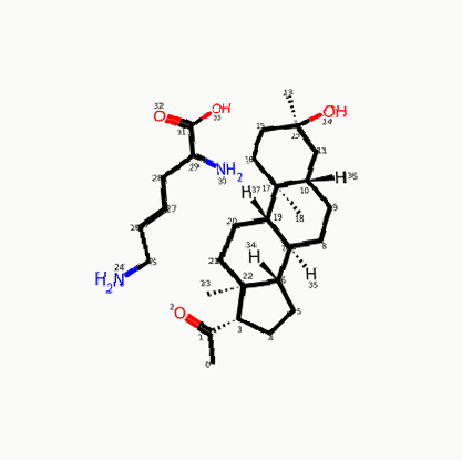 CC(=O)[C@H]1CC[C@H]2[C@@H]3CC[C@H]4C[C@](C)(O)CC[C@]4(C)[C@H]3CC[C@]12C.NCCCCC(N)C(=O)O